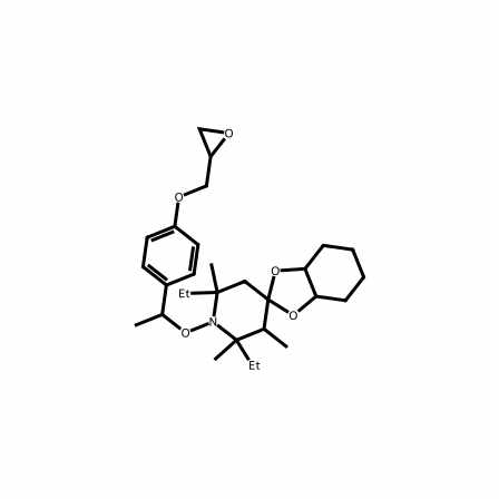 CCC1(C)CC2(OC3CCCCC3O2)C(C)C(C)(CC)N1OC(C)c1ccc(OCC2CO2)cc1